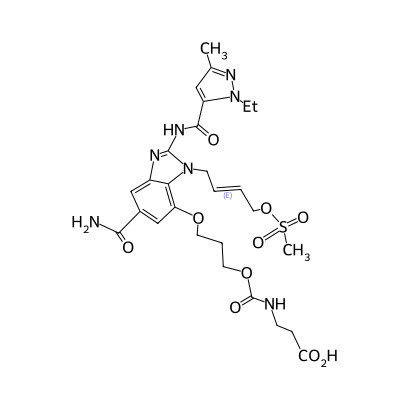 CCn1nc(C)cc1C(=O)Nc1nc2cc(C(N)=O)cc(OCCCOC(=O)NCCC(=O)O)c2n1C/C=C/COS(C)(=O)=O